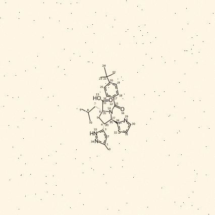 Cc1cc([C@@H]2C[C@@](CC(C)C)(C(=O)O)N(C(=O)c3ccc(C(C)(C)C)cc3)[C@H]2c2nccs2)[nH]n1